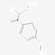 CCOC(=O)NC(C)C(=O)c1ccc(OC(=O)O)cc1